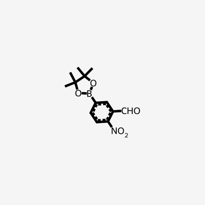 CC1(C)OB(c2ccc([N+](=O)[O-])c(C=O)c2)OC1(C)C